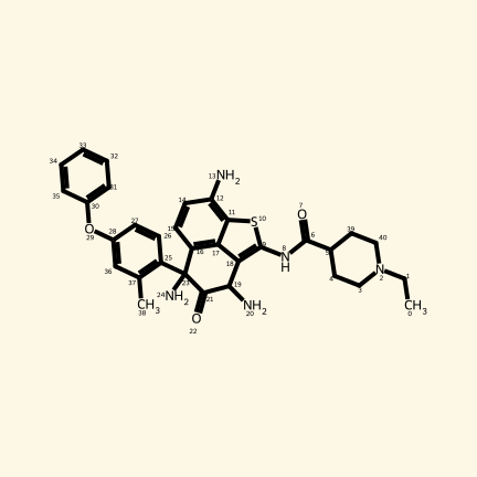 CCN1CCC(C(=O)Nc2sc3c(N)ccc4c3c2C(N)C(=O)C4(N)c2ccc(Oc3ccccc3)cc2C)CC1